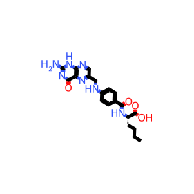 CCCC[C@H](NC(=O)c1ccc(NCc2cnc3[nH]c(N)nc(=O)c3n2)cc1)C(=O)O